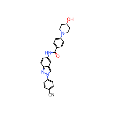 N#Cc1ccc(-n2cc3cc(NC(=O)c4ccc(N5CCC(O)CC5)cc4)ccc3n2)cc1